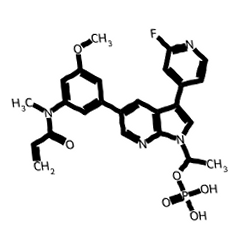 C=CC(=O)N(C)c1cc(OC)cc(-c2cnc3c(c2)c(-c2ccnc(F)c2)cn3C(C)OP(=O)(O)O)c1